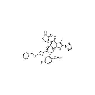 COc1ccc(F)cc1[C@H](Cn1c(=O)n([C@@H]2CCNC2=O)c(=O)c2c(C)c(-n3nccn3)sc21)OC1CC(OCc2ccccc2)C1